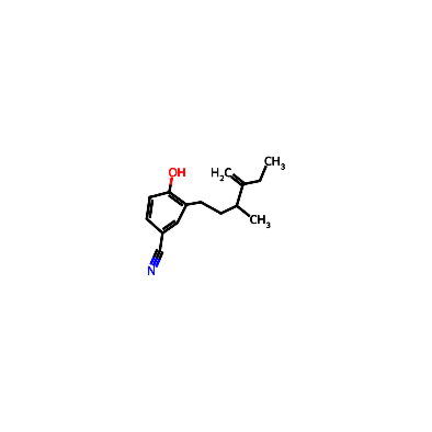 C=C(CC)C(C)CCc1cc(C#N)ccc1O